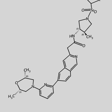 C[C@@H]1CN(c2cccc(-c3ccc4cnc(CC(=O)N[C@@H]5CN(S(=O)(=O)C(F)F)C[C@H]5C)cc4c3)n2)C[C@H](C)O1